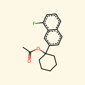 CC(=O)OC1(c2ccc3cccc(F)c3c2)CCCCC1